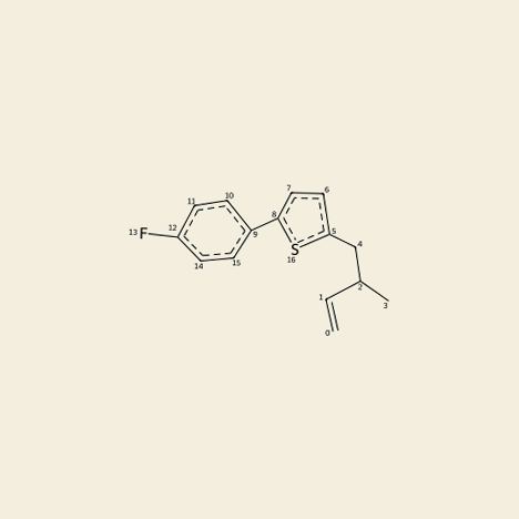 C=CC(C)Cc1ccc(-c2ccc(F)cc2)s1